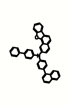 c1ccc(-c2ccc(N(c3ccc(-c4cccc5ccccc45)cc3)c3ccc4ccc5c6ccccc6oc5c4c3)cc2)cc1